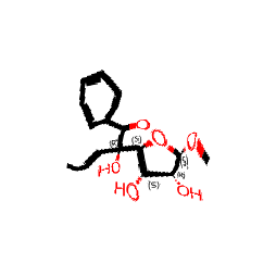 CC=C[C@](O)(C(=O)c1ccccc1)[C@H]1O[C@H](OC)[C@H](O)[C@@H]1O